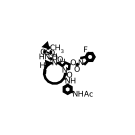 CC(=O)Nc1cccc(N[C@H]2CCCCC/C=C\[C@@H]3C[C@@]3(C(=O)NS(=O)(=O)C3(C)CC3)NC(=O)[C@@H]3C[C@@H](OC(=O)N4Cc5cccc(F)c5C4)CN3C2=O)c1